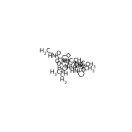 C=CCNC(=O)C(=O)C(CC1CCC1)NC(=O)[C@@H]1[C@@H]2[C@H](CN1C(=O)[C@@H](NC(=O)NC1(CS(=O)(=O)C(C)(C)C)CCCCC1)C(C)(C)C)C2(C)C